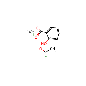 CCO.O=C(O)c1ccccc1O.[Ca+2].[Cl-].[Cl-]